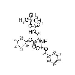 CC(C)(C)OC(=O)NCC(NC(=O)OCc1ccccc1)C(=O)OC1CCCCC1